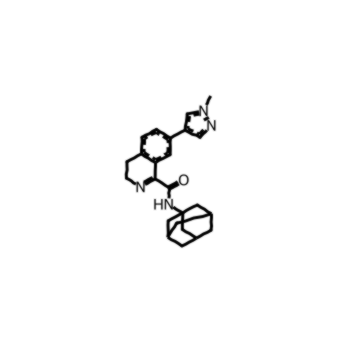 Cn1cc(-c2ccc3c(c2)C(C(=O)NC24CC5CC(CC(C5)C2)C4)=NCC3)cn1